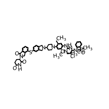 CCc1cc(Nc2ncc(Cl)c(Nc3ccccc3P(C)(C)=O)n2)c(OC)cc1N1CCC(N2Cc3ccc(Sc4cccc5c4CN(C4CCC(=O)NC4=O)C5=O)cc3C2)CC1